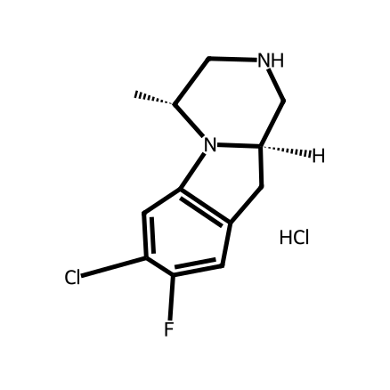 C[C@@H]1CNC[C@H]2Cc3cc(F)c(Cl)cc3N21.Cl